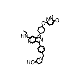 CCNc1cc2c(cn1)c(-c1ccc(CN3CC[C@@H](O)C3)cc1)nn2C1CCC(Oc2ccc(=O)n(C)n2)CC1